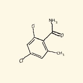 Cc1cc(Cl)cc(Cl)c1C(N)=O